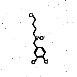 [O-][S+](CCCCCl)Cc1ccc(Cl)c(Cl)c1